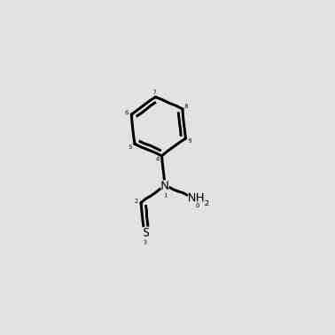 NN(C=S)c1ccccc1